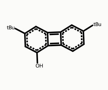 CC(C)(C)c1ccc2c(c1)=c1cc(C(C)(C)C)cc(O)c1=2